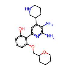 Nc1nc(-c2c(O)cccc2OCC2CCCCO2)cc(C2CCCNC2)c1N